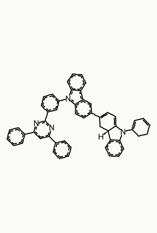 C1=CCCC(N2C3=CC=C(c4ccc5c(c4)c4ccccc4n5-c4cccc(-c5nc(-c6ccccc6)cc(-c6ccccc6)n5)c4)C[C@H]3c3ccccc32)=C1